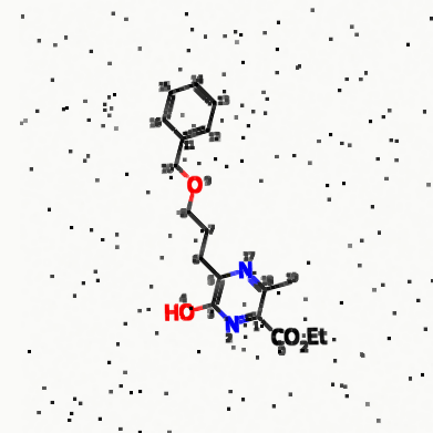 CCOC(=O)c1nc(O)c(CCCOCc2ccccc2)nc1C